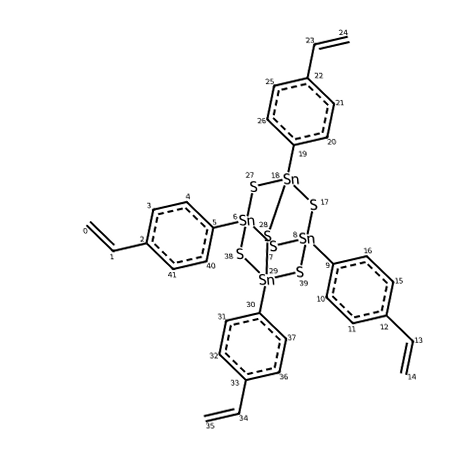 C=Cc1cc[c]([Sn]23[S][Sn]4([c]5ccc(C=C)cc5)[S][Sn]([c]5ccc(C=C)cc5)([S]2)[S][Sn]([c]2ccc(C=C)cc2)([S]3)[S]4)cc1